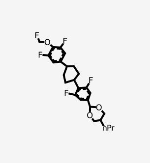 CCCC1COC(c2cc(F)c(C3CCC(c4cc(F)c(OCF)c(F)c4)CC3)c(F)c2)OC1